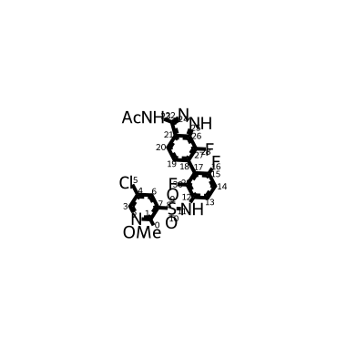 COc1ncc(Cl)cc1S(=O)(=O)Nc1ccc(F)c(-c2ccc3c(NC(C)=O)n[nH]c3c2F)c1F